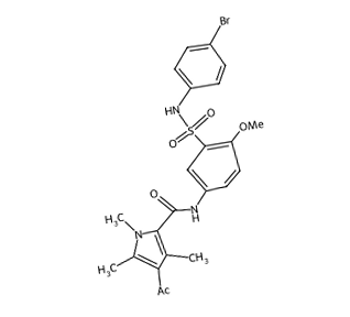 COc1ccc(NC(=O)c2c(C)c(C(C)=O)c(C)n2C)cc1S(=O)(=O)Nc1ccc(Br)cc1